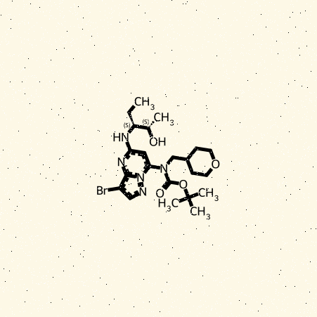 CC[C@H](Nc1cc(N(CC2CCOCC2)C(=O)OC(C)(C)C)n2ncc(Br)c2n1)[C@H](C)O